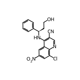 N#Cc1cnc2c(Cl)cc([N+](=O)[O-])cc2c1N[C@H](CCO)c1ccccc1